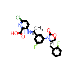 C[C@@H](Nc1ccc(Cl)nc1C(=O)O)c1cc(F)cc(N2C(=O)OC[C@@H]2Cc2ccccc2F)c1